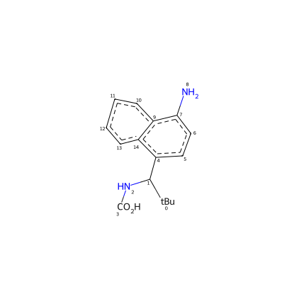 CC(C)(C)C(NC(=O)O)c1ccc(N)c2ccccc12